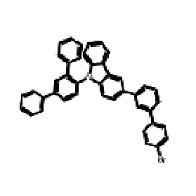 Brc1ccc(-c2cccc(-c3ccc4c(c3)c3ccccc3n4-c3ccc(-c4ccccc4)cc3-c3ccccc3)c2)cc1